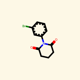 O=C1CCCC(=O)N1c1cccc(Br)c1